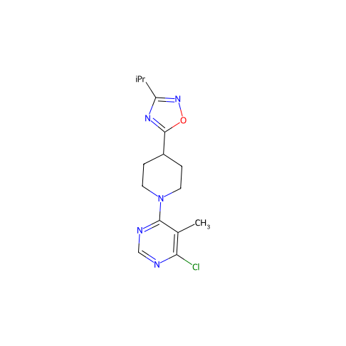 Cc1c(Cl)ncnc1N1CCC(c2nc(C(C)C)no2)CC1